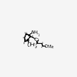 COCCCOc1c(C)cccc1N